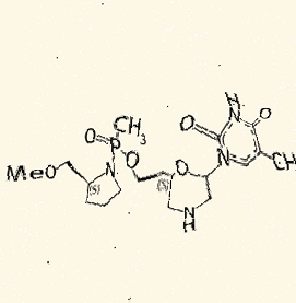 COC[C@@H]1CCCN1P(C)(=O)OC[C@@H]1CNCC(n2cc(C)c(=O)[nH]c2=O)O1